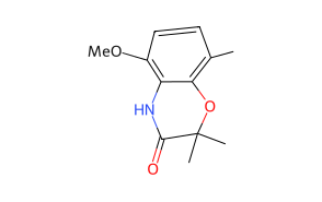 COc1ccc(C)c2c1NC(=O)C(C)(C)O2